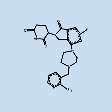 Cc1ncccc1CN1CCN(c2cc(F)cc3c2CN(C2CCC(=O)NC2=O)C3=O)CC1